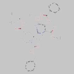 COC(=O)c1nc(C2(C)CN(C(=O)OC(C)(C)C)CCN2C(=O)OCc2ccccc2)nc(O)c1OC(=O)c1ccccc1